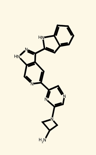 NC1CN(c2cncc(-c3cc4c(-c5cc6ccccc6[nH]5)n[nH]c4cn3)n2)C1